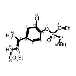 CCCCSP(=O)(OCC)Oc1ccc(C(C)=NNC(=O)OCC)cc1Cl